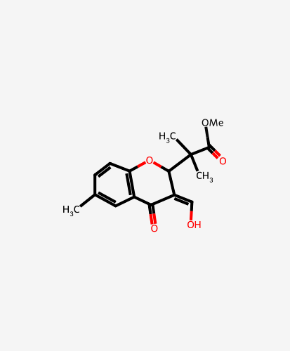 COC(=O)C(C)(C)C1Oc2ccc(C)cc2C(=O)C1=CO